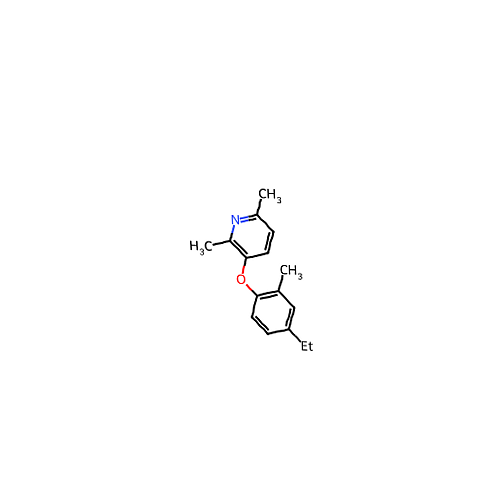 CCc1ccc(Oc2ccc(C)nc2C)c(C)c1